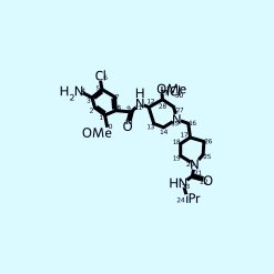 COc1cc(N)c(Cl)cc1C(=O)NC1CCN(CC2CCN(C(=O)NC(C)C)CC2)CC1OC.Cl